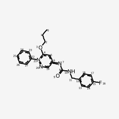 CCCOc1c/c(=N/C(=O)NCc2ccc(F)cc2)cnn1-c1ccccc1